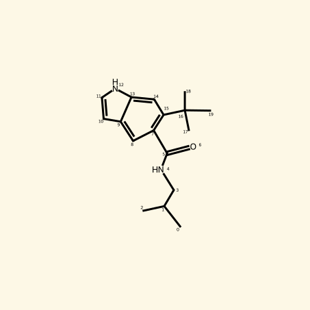 CC(C)CNC(=O)c1cc2cc[nH]c2cc1C(C)(C)C